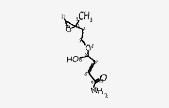 CC1(CCOC(O)C=CC(N)=O)CO1